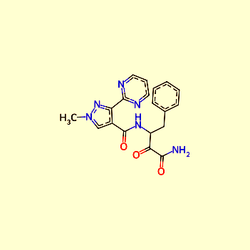 Cn1cc(C(=O)NC(Cc2ccccc2)C(=O)C(N)=O)c(-c2ncccn2)n1